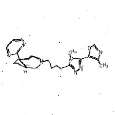 Cc1ncoc1-c1nnc(SCCCN2C[C@H]3CC3(c3ncccn3)C2)n1C